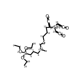 CCO[Si](CCCN(C)CSCCCC(=C=O)[SiH](C=C=O)C=C=O)(OCC)OCC